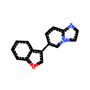 c1ccc2c(-c3ccc4nccn4c3)coc2c1